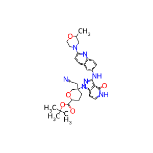 CC1CN(c2ccc3cc(Nc4nn(C5(CC#N)CCC(C(=O)OC(C)(C)C)OC5)c5cc[nH]c(=O)c45)ccc3n2)CCO1